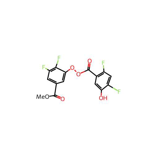 COC(=O)c1cc(F)c(F)c(OOC(=O)c2cc(O)c(F)cc2F)c1